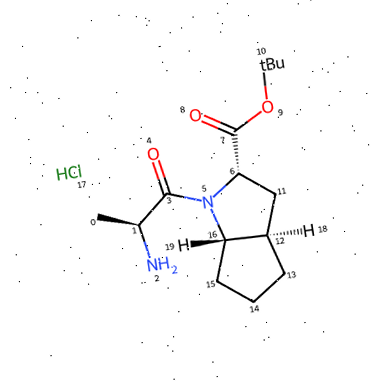 C[C@H](N)C(=O)N1[C@H](C(=O)OC(C)(C)C)C[C@H]2CCC[C@@H]21.Cl